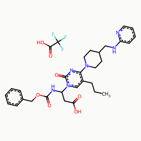 CCCc1cn(C(CC(=O)O)NC(=O)OCc2ccccc2)c(=O)nc1N1CCC(CNc2ccccn2)CC1.O=C(O)C(F)(F)F